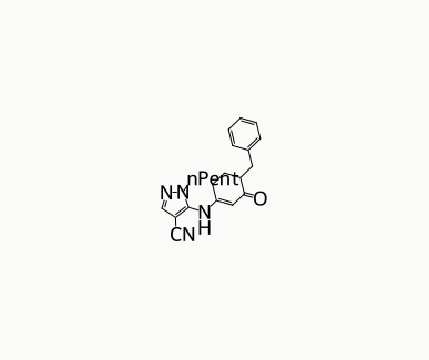 CCCCCn1ncc(C#N)c1NC1=CC(=O)C(Cc2ccccc2)CC1